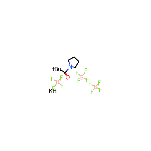 CC(C)(C)C(=O)N1CCCC1.F[B-](F)(F)F.F[B-](F)(F)F.F[B-](F)(F)F.[KH]